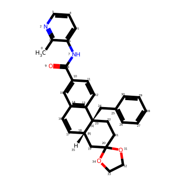 Cc1ncccc1NC(=O)c1ccc2c(c1)C=C[C@H]1CC3(CC[C@@]21Cc1ccccc1)OCCO3